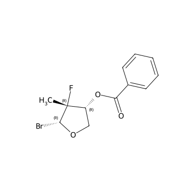 C[C@]1(F)[C@@H](Br)OC[C@H]1OC(=O)c1ccccc1